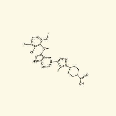 COc1ccc(F)c(Cl)c1[C@@H](C)c1c[nH]c2ncc(-c3cnn(C4CCC(C(=O)O)CC4)c3C)cc12